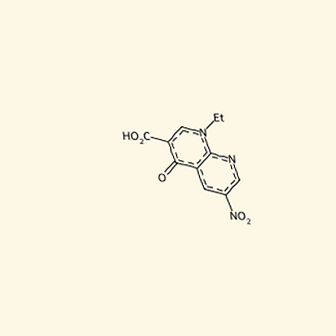 CCn1cc(C(=O)O)c(=O)c2cc([N+](=O)[O-])cnc21